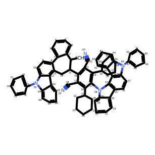 CC1c2ccccc2-c2ccc3c(c2CC1c1c(C#N)c(C2CCCCC2)c(-n2c4ccccc4c4ccc5c(c6ccccc6n5-c5ccccc5)c42)c(C2CCCCC2)c1C#N)c1ccccc1n3-c1ccccc1